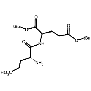 CC(C)(C)OC(=O)CC[C@@H](NC(=O)[C@H](N)CCC(=O)O)C(=O)OC(C)(C)C